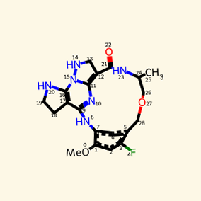 COc1cc(F)c2cc1NC1=NC3=C(CNN3C3=C1CCN3)C(=O)NC(C)COC2